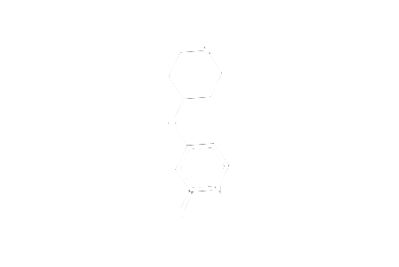 O=c1cc(OC2CCNCC2)cc[nH]1